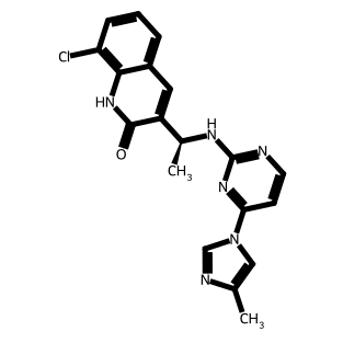 Cc1cn(-c2ccnc(N[C@@H](C)c3cc4cccc(Cl)c4[nH]c3=O)n2)cn1